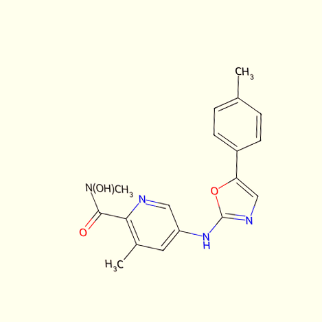 Cc1ccc(-c2cnc(Nc3cnc(C(=O)N(C)O)c(C)c3)o2)cc1